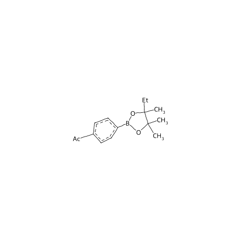 CCC1(C)OB(c2ccc(C(C)=O)cc2)OC1(C)C